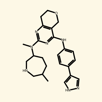 CC1CCC(N(C)c2nc3c(c(Nc4ccc(-c5cn[nH]c5)cc4)n2)COCC3)CNC1